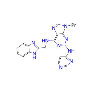 CC(C)n1cnc2c(NCc3nc4ccccc4[nH]3)nc(Nc3ccncn3)nc21